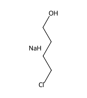 OCCCCCl.[NaH]